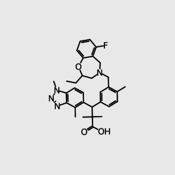 CCC1CN(Cc2cc(C(c3ccc4c(nnn4C)c3C)C(C)(C)C(=O)O)ccc2C)Cc2c(F)cccc2O1